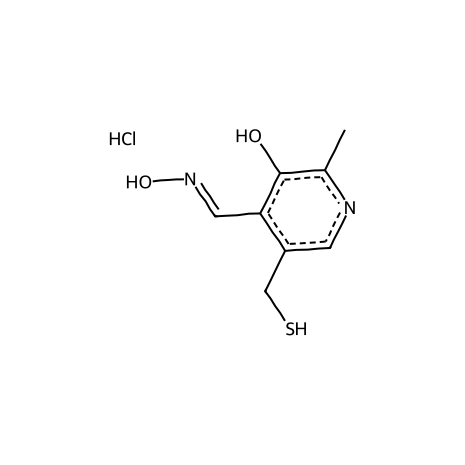 Cc1ncc(CS)c(C=NO)c1O.Cl